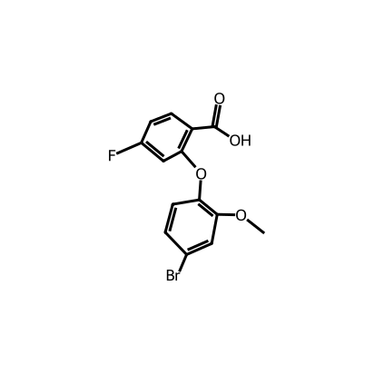 COc1cc(Br)ccc1Oc1cc(F)ccc1C(=O)O